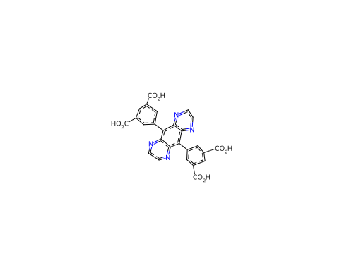 O=C(O)c1cc(C(=O)O)cc(-c2c3nccnc3c(-c3cc(C(=O)O)cc(C(=O)O)c3)c3nccnc23)c1